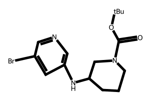 CC(C)(C)OC(=O)N1CCCC(Nc2cncc(Br)c2)C1